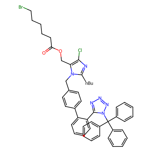 CCCCc1nc(Cl)c(COC(=O)CCCCCBr)n1Cc1ccc(-c2ccccc2-c2nnnn2C(c2ccccc2)(c2ccccc2)c2ccccc2)cc1